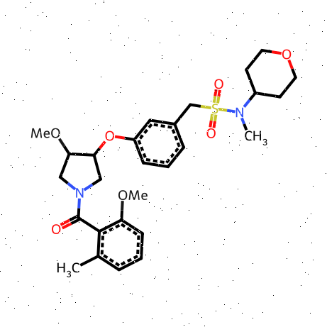 COc1cccc(C)c1C(=O)N1CC(OC)C(Oc2cccc(CS(=O)(=O)N(C)C3CCOCC3)c2)C1